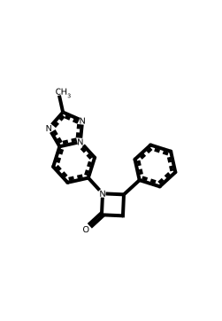 Cc1nc2ccc(N3C(=O)CC3c3ccccc3)cn2n1